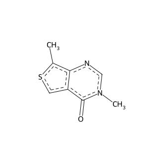 Cc1scc2c(=O)n(C)cnc12